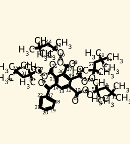 CC(C)(C)CC(C)(C)OOC(=O)c1cc(C(=O)c2ccccc2)c(C(=O)OOC(C)(C)CC(C)(C)C)c(C(=O)OOC(C)(C)CC(C)(C)C)c1C(=O)OOC(C)(C)CC(C)(C)C